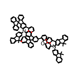 CC1(C)c2ccccc2-c2ccc(N(c3ccc4oc5c(-c6ccc7c(c6)-c6ccc(N(c8ccc9c(c8)C(C)(C)c8ccccc8-9)c8cc9c(cc8-c8ccccc8)-c8ccccc8C98c9ccccc9-c9ccccc98)cc6C76c7ccccc7-c7ccccc76)cccc5c4c3)c3cc4c(cc3-c3ccccc3)-c3ccccc3C4(C)C)cc21